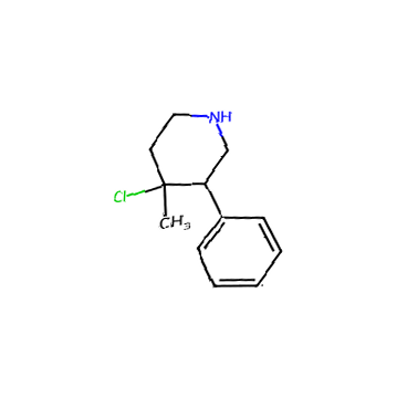 CC1(Cl)CCNCC1c1cc[c]cc1